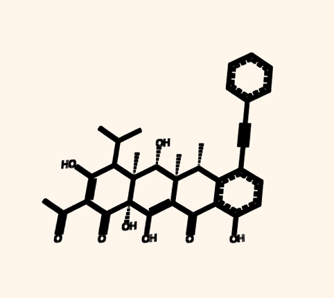 CC(=O)C1=C(O)C(C(C)C)[C@@]2(C)[C@H](O)[C@]3(C)C(=C(O)[C@@]2(O)C1=O)C(=O)c1c(O)ccc(C#Cc2ccccc2)c1[C@H]3C